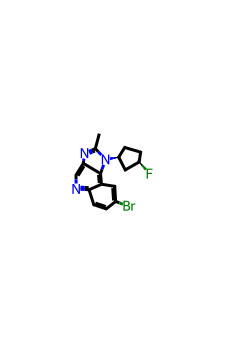 Cc1nc2cnc3ccc(Br)cc3c2n1[C@H]1CC[C@@H](F)C1